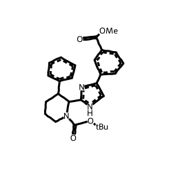 COC(=O)c1cccc(-c2c[nH]c(C3C(c4ccccc4)CCCN3C(=O)OC(C)(C)C)n2)c1